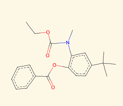 CCOC(=O)N(C)c1cc(C(C)(C)C)ccc1OC(=O)c1ccccc1